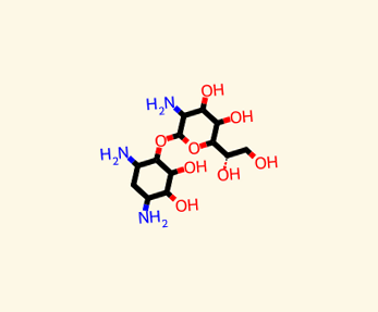 NC1CC(N)C(OC2OC([C@@H](O)CO)C(O)C(O)C2N)C(O)C1O